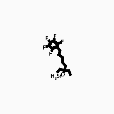 CCC(CC)(CCCCCc1c(F)c(F)c(F)c(F)c1F)O[SiH3]